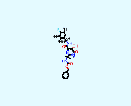 [2H]c1cc(C([2H])([2H])NC(=O)c2nc(C(C)(C)NC(=O)OCc3ccccc3)n(C)c(=O)c2O)c([2H])c([2H])c1F